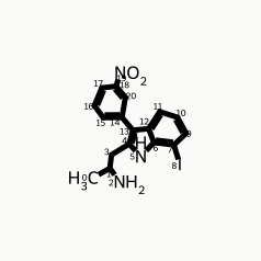 CC(N)Cc1[nH]c2c(I)cccc2c1-c1cccc([N+](=O)[O-])c1